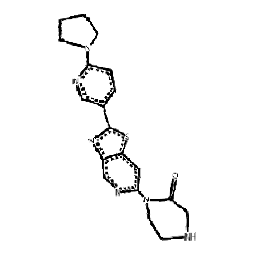 O=C1CNCCN1c1cc2sc(-c3ccc(N4CCCC4)nc3)nc2cn1